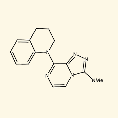 CNc1nnc2c(N3CCCc4ccccc43)nccn12